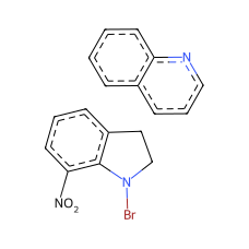 O=[N+]([O-])c1cccc2c1N(Br)CC2.c1ccc2ncccc2c1